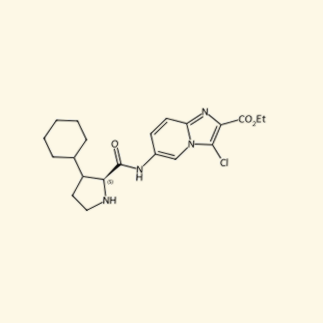 CCOC(=O)c1nc2ccc(NC(=O)[C@H]3NCCC3C3CCCCC3)cn2c1Cl